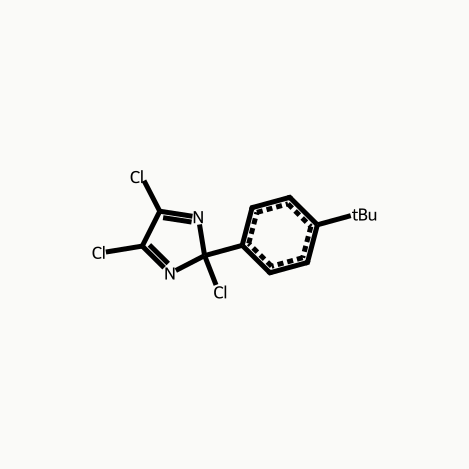 CC(C)(C)c1ccc(C2(Cl)N=C(Cl)C(Cl)=N2)cc1